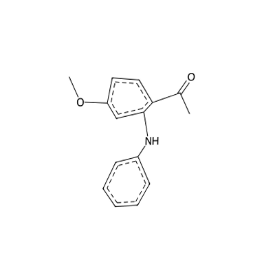 COc1ccc(C(C)=O)c(Nc2ccccc2)c1